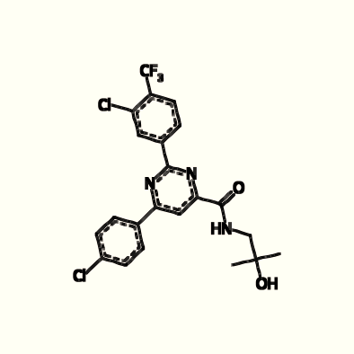 CC(C)(O)CNC(=O)c1cc(-c2ccc(Cl)cc2)nc(-c2ccc(C(F)(F)F)c(Cl)c2)n1